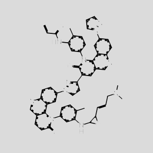 C=CC(=O)Nc1cc(-n2c(=O)c(-c3ccn(-c4ccc5ncc6ccc(=O)n(-c7ccc(C)c(NC8OC8/C=C/CN(C)C)c7)c6c5c4)n3)cc3cnc4ccc(-n5cccn5)cc4c32)ccc1C